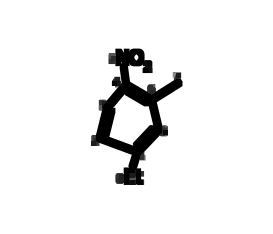 CCc1ccc([N+](=O)[O-])c(C)c1